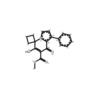 COC(=O)C1=C(O)C2(CCC2)n2ccc(-c3ccccc3)c2C1=O